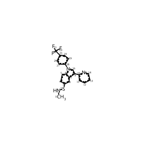 CNSc1ccc2c(c1)c(-c1ccccn1)cn2-c1ccc(C(F)(F)F)cc1